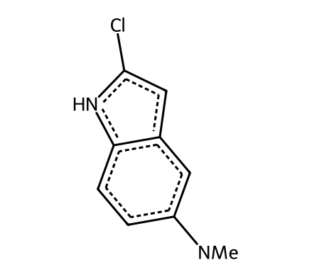 CNc1ccc2[nH]c(Cl)cc2c1